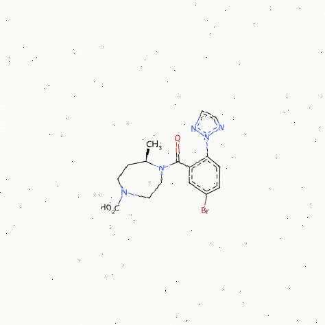 C[C@@H]1CCN(C(=O)O)CCN1C(=O)c1cc(Br)ccc1-n1nccn1